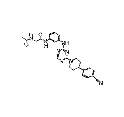 CC(=O)NCC(=O)Nc1cccc(Nc2ncnc(N3CCC(c4ccc(C#N)cc4)CC3)n2)c1